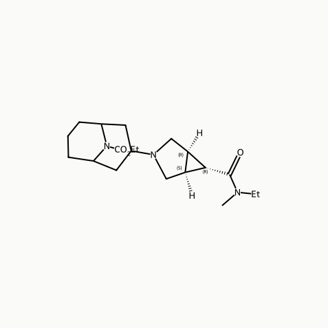 CCOC(=O)N1C2CCCC1CC(N1C[C@@H]3[C@H](C1)[C@H]3C(=O)N(C)CC)C2